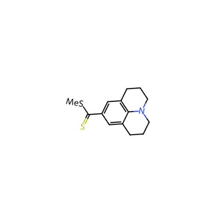 CSC(=S)c1cc2c3c(c1)CCCN3CCC2